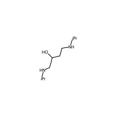 CC(C)NCCC(O)CNC(C)C